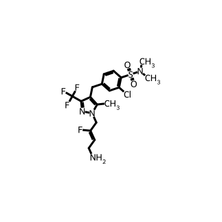 Cc1c(Cc2ccc(S(=O)(=O)N(C)C)c(Cl)c2)c(C(F)(F)F)nn1C/C(F)=C/CN